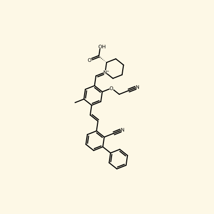 Cc1cc(/C=[N+]2\CCCC[C@H]2C(=O)O)c(OCC#N)cc1/C=C/c1cccc(-c2ccccc2)c1C#N